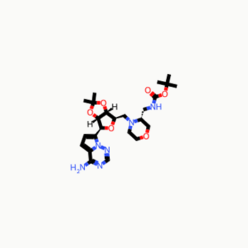 CC(C)(C)OC(=O)NC[C@@H]1COCCN1C[C@H]1O[C@@H](c2ccc3c(N)ncnn23)[C@@H]2OC(C)(C)O[C@@H]21